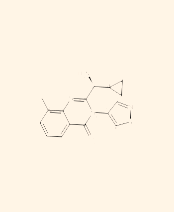 N[C@H](c1nc2c(Cl)cccc2c(=O)n1-c1cn[nH]c1)C1CC1